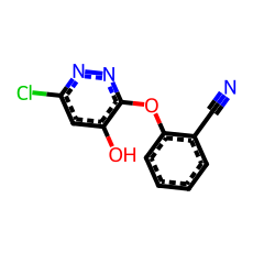 N#Cc1ccccc1Oc1nnc(Cl)cc1O